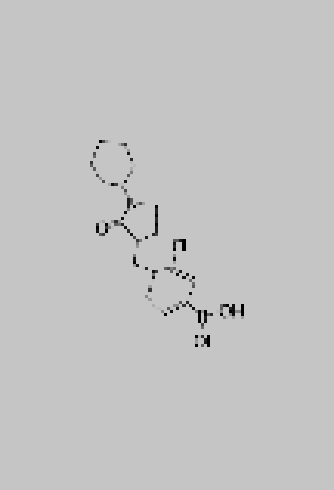 O=C1C(CC2CC=C(B(O)O)C=C2Cl)CCN1C1CCCCC1